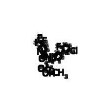 COC[C@H](C[C@@H](Cc1ccc(-c2cc(Cl)ccc2F)cc1)NC(=O)c1ccc(C(F)(F)F)cn1)C(=O)O